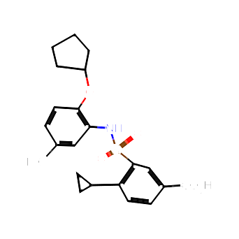 O=C(O)c1ccc(C2CC2)c(S(=O)(=O)Nc2cc(C(F)(F)F)ccc2OC2CCCC2)c1